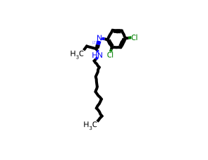 CCCCCCCCCN/C(CC)=N\c1ccc(Cl)cc1Cl